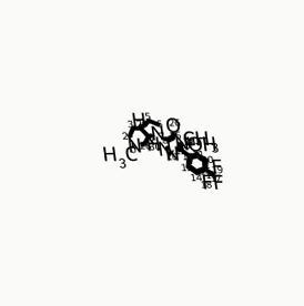 CN1CC[C@@H]2CCN(c3nnc(-c4ccc(C(F)(F)F)cc4O)n(C)c3=O)[C@@H]2C1